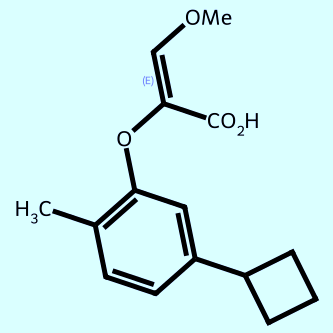 CO/C=C(/Oc1cc(C2CCC2)ccc1C)C(=O)O